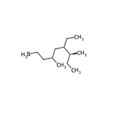 BCCC(C)CC(CC)[C@@H](C)CC